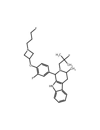 CC1Cc2c([nH]c3ccccc23)C(c2ccc(OC3CN(CCCF)C3)c(F)c2)N1CC(C)(C)F